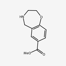 COC(=O)c1ccc2c(c1)CNCCO2